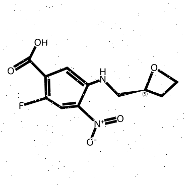 O=C(O)c1cc(NC[C@@H]2CCO2)c([N+](=O)[O-])cc1F